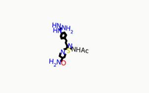 CC(=O)Nc1nc(CCc2ccc(NC(=N)N)cc2)c(CN2CCC(C(N)=O)CC2)s1